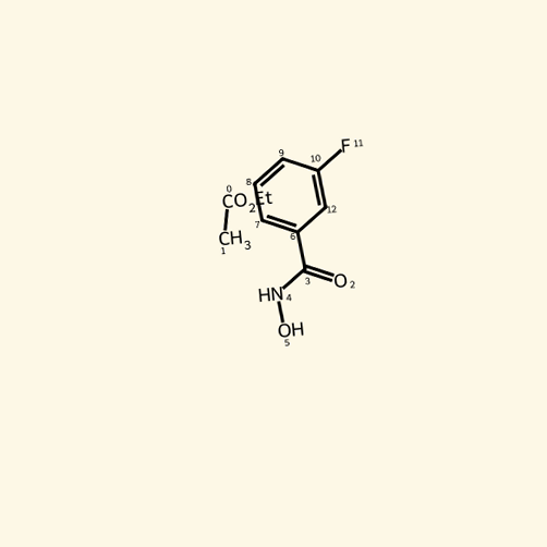 CCOC(C)=O.O=C(NO)c1cccc(F)c1